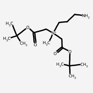 CC(C)(C)OC(=O)C[N+](C)(CCCN)CC(=O)OC(C)(C)C